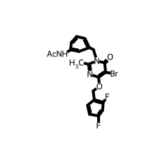 CC(=O)Nc1cccc(Cn2c(C)nc(OCc3ccc(F)cc3F)c(Br)c2=O)c1